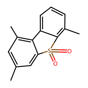 Cc1cc(C)c2c(c1)S(=O)(=O)c1c(C)cccc1-2